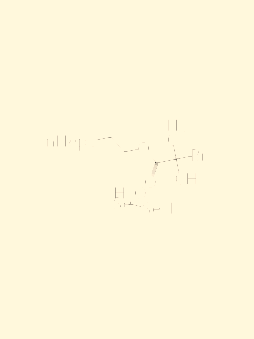 CCCCCCCCCOC(=O)C(C)(C)Br.O.[SeH][SeH]